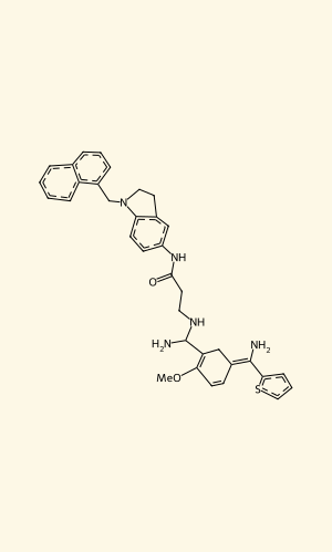 COC1=C(C(N)NCCC(=O)Nc2ccc3c(c2)CCN3Cc2cccc3ccccc23)CC(=C(N)c2cccs2)C=C1